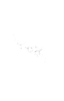 CCCCCCCc1ccc(-c2ccc(C3CCC(CCCCC)CC3)cc2)c(F)c1F